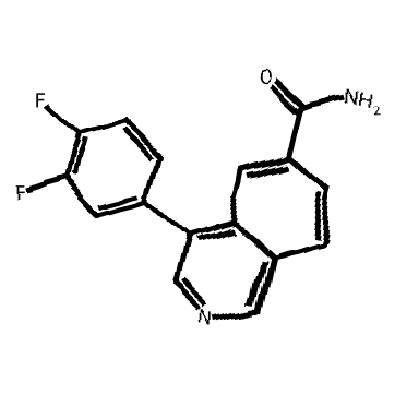 NC(=O)c1ccc2cncc(-c3ccc(F)c(F)c3)c2c1